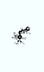 CCOc1c(-c2ccc(C(=O)NCC3(N(C)C)CCOCC3)s2)ccc(N(CC)CC)c1OC.Cl